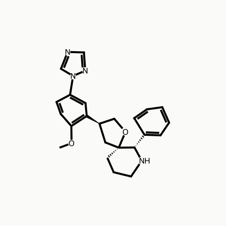 COc1ccc(-n2cncn2)cc1[C@H]1CO[C@]2(CCCN[C@H]2c2ccccc2)C1